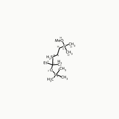 CCC(C)(O[Si](C)(C)C)[SiH2]CC[Si](C)(C)OC